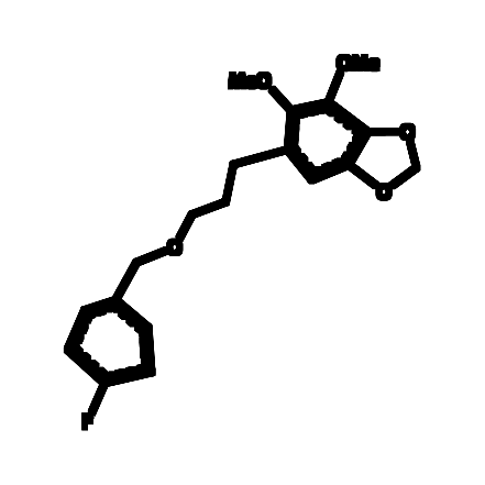 COc1c(CCCOCc2ccc(F)cc2)cc2c(c1OC)OCO2